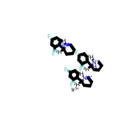 [2H][NH+]1C=CC=CC1([2H])c1ccc(F)cc1F.[2H][NH+]1C=CC=CC1([2H])c1ccc(F)cc1F.[2H][NH+]1C=CC=CC1([2H])c1ccc(F)cc1F.[Ir+3]